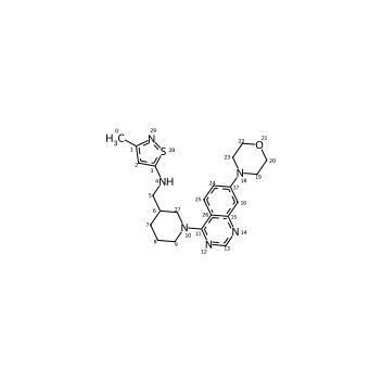 Cc1cc(NCC2CCCN(c3ncnc4cc(N5CCOCC5)ccc34)C2)sn1